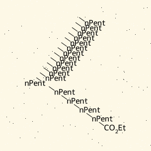 CCCCCC.CCCCCC.CCCCCC.CCCCCC.CCCCCC.CCCCCC.CCCCCC.CCCCCC.CCCCCC.CCCCCC.CCCCCC.CCCCCC.CCCCCC.CCCCCC.CCCCCC.CCCCCC.CCCCCC.CCOC(C)=O